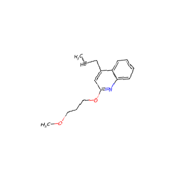 CBCc1cc(OCCCOC)nc2ccccc12